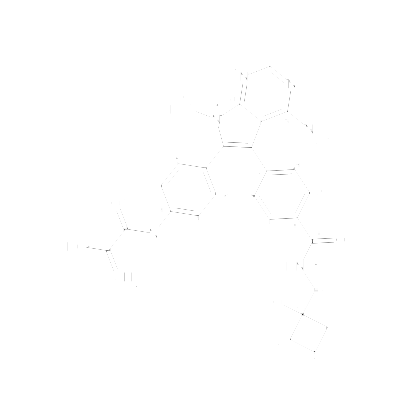 C=C(C)C(=O)Nc1ccc(-c2c(-c3ccc(C(=O)NCC4(O)CCC4)cc3)c3c(N)ncnc3n2C)cc1